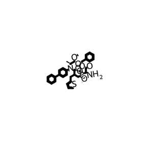 COC(=O)[C@H](C)N(C(=O)C(Cc1cccs1)CP(=O)(OC)C(N)C(=O)OCc1ccccc1)c1ccc(-c2ccccc2)cc1